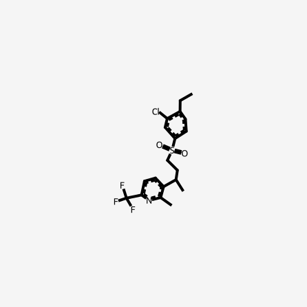 CCc1ccc(S(=O)(=O)CCC(C)c2ccc(C(F)(F)F)nc2C)cc1Cl